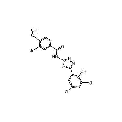 COc1ccc(C(=O)Nc2nnc(-c3cc(Cl)cc(Cl)c3O)s2)cc1Br